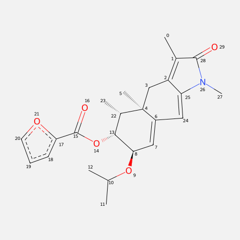 CC1=C2C[C@@]3(C)C(=C[C@@H](OC(C)C)[C@H](OC(=O)c4ccco4)[C@@H]3C)C=C2N(C)C1=O